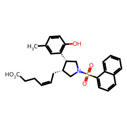 Cc1ccc(O)c([C@@H]2CN(S(=O)(=O)c3cccc4ccccc34)C[C@@H]2C/C=C\CCC(=O)O)c1